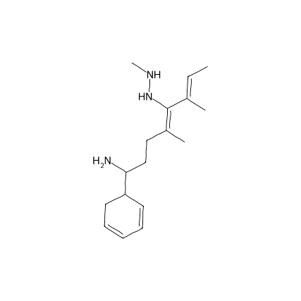 C/C=C(C)/C(NNC)=C(\C)CCC(N)C1C=CC=CC1